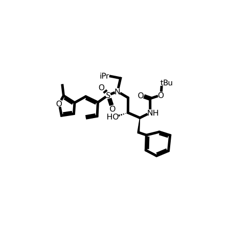 C=C/C(=C\c1ccoc1C)S(=O)(=O)N(CC(C)C)C[C@@H](O)[C@H](Cc1ccccc1)NC(=O)OC(C)(C)C